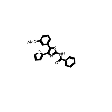 COc1cccc(-c2sc(NC(=O)c3ccccc3)nc2-c2ccco2)c1